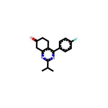 CC(C)c1nc2c(c(-c3ccc(F)cc3)n1)CCC(=O)C2